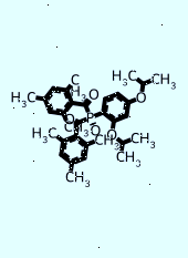 Cc1cc(C)c(C(=O)P(=O)(C(=O)c2c(C)cc(C)cc2C)c2ccc(OC(C)C)cc2OC(C)C)c(C)c1